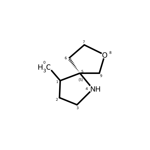 CC1CCN[C@@]12CCOC2